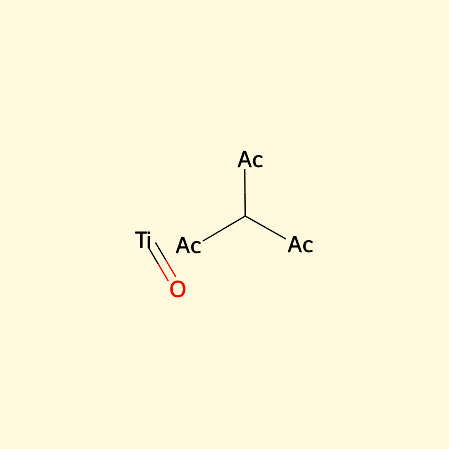 CC(=O)C(C(C)=O)C(C)=O.[O]=[Ti]